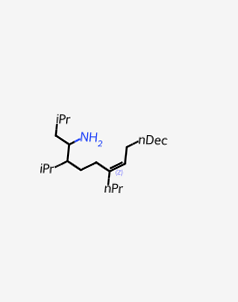 CCCCCCCCCCC/C=C(/CCC)CCC(C(C)C)C(N)CC(C)C